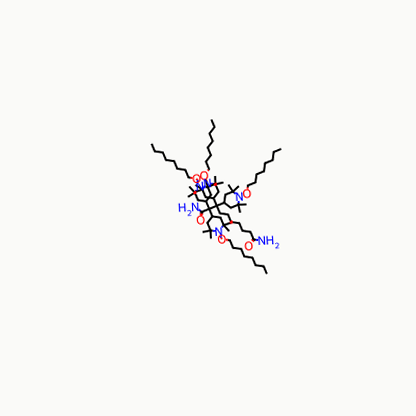 CCCCCCCCON1C(C)(C)CC(C(CCCCCCC(N)=O)(C2CC(C)(C)N(OCCCCCCCC)C(C)(C)C2)C(C(N)=O)(C2CC(C)(C)N(OCCCCCCCC)C(C)(C)C2)C2CC(C)(C)N(OCCCCCCCC)C(C)(C)C2)CC1(C)C